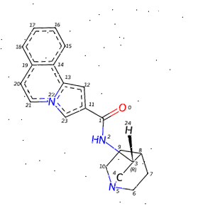 O=C(N[C@H]1CN2CCC1CC2)c1cc2c3ccccc3ccn2c1